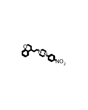 O=[N+]([O-])c1ccc(N2CCN(CCC3CCOc4ccccc43)CC2)cc1